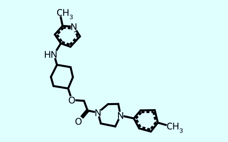 Cc1ccc(N2CCN(C(=O)COC3CCC(Nc4ccnc(C)c4)CC3)CC2)cc1